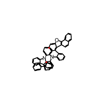 c1ccc(-c2cccc(N(c3ccccc3-c3cccc4oc5c6ccccc6ccc5c34)c3ccccc3-n3c4ccccc4c4ccccc43)c2)cc1